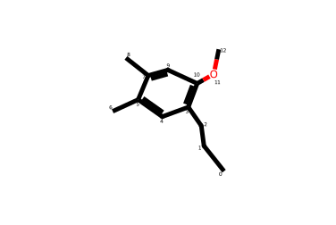 CCCc1cc(C)c(C)cc1OC